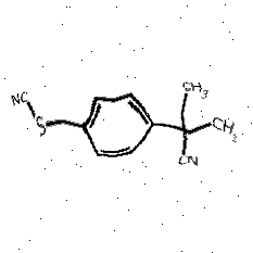 CC(C)(C#N)c1ccc(SC#N)cc1